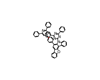 c1ccc(-c2cc(-c3ccc(-c4cc5c6ccccc6oc5c5c6ccccc6n(-c6nc(-c7ccccc7)nc(-c7ccccc7)n6)c45)cc3)nc(-c3ccccc3)n2)cc1